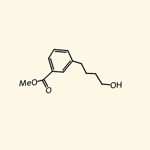 COC(=O)c1cccc(CCCCO)c1